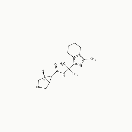 Cn1nc(C(C)(C)NC(=O)C2C3CNC[C@@H]32)c2c1CCCC2